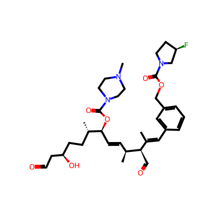 C/C(=C\c1cccc(COC(=O)N2CC[C@@H](F)C2)c1)[C@@H](C=O)[C@@H](C)/C=C/[C@H](OC(=O)N1CCN(C)CC1)[C@@H](C)CC[C@@H](O)CC=O